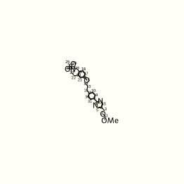 COCOCc1cnc(-c2ccc(CCCOc3ccc4c(c3)CCN(S(C)(=O)=O)C4)cc2)nc1